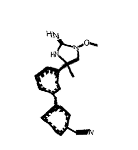 CON1CC(C)(c2cccc(-c3cccc(C#N)c3)c2)NC1=N